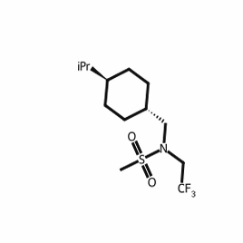 CC(C)[C@H]1CC[C@H](CN(CC(F)(F)F)S(C)(=O)=O)CC1